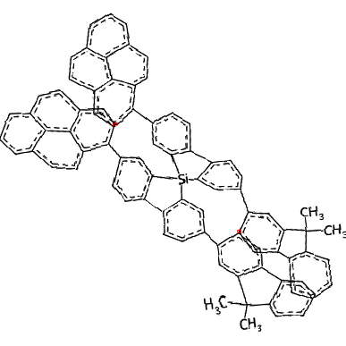 CC1(C)c2ccccc2-c2ccc(-c3ccc4c(c3)[Si]3(c5cc(-c6ccc7c(c6)C(C)(C)c6ccccc6-7)ccc5-c5ccc(-c6ccc7ccc8cccc9ccc6c7c89)cc53)c3cc(-c5ccc6ccc7cccc8ccc5c6c78)ccc3-4)cc21